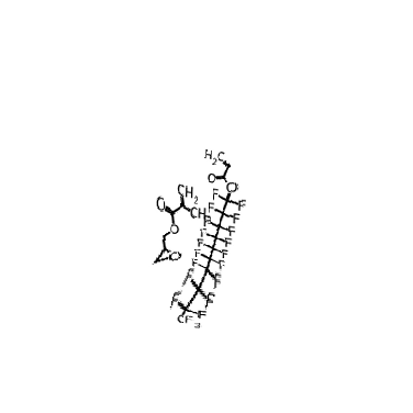 C=C(C)C(=O)OCC1CO1.C=CC(=O)OC(F)(F)C(F)(F)C(F)(F)C(F)(F)C(F)(F)C(F)(F)C(F)(F)C(F)(F)C(F)(F)C(F)(F)F